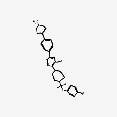 CC1CCC(c2ccc(-c3ccc(C4CCC(C(F)(F)Oc5ccc(F)cc5)CC4)c(F)c3)cc2)CC1